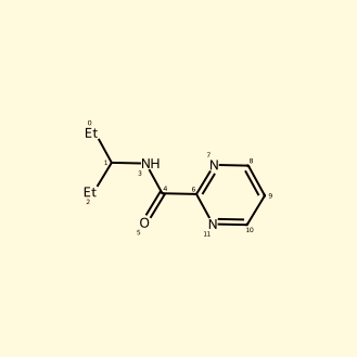 CCC(CC)NC(=O)c1ncccn1